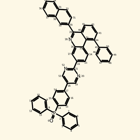 O=P(c1ccccc1)(c1ccccc1)c1ccc(-c2cnc(-c3ccc4c(c3)nc(-c3ccc5ccccc5c3)c3cccc(-c5ccccc5)c34)nc2)cc1